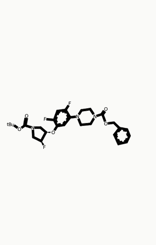 CC(C)(C)OC(=O)N1C[C@H](Oc2cc(N3CCN(C(=O)OCc4ccccc4)CC3)c(F)cc2F)[C@@H](F)C1